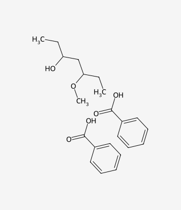 CCC(O)CC(CC)OC.O=C(O)c1ccccc1.O=C(O)c1ccccc1